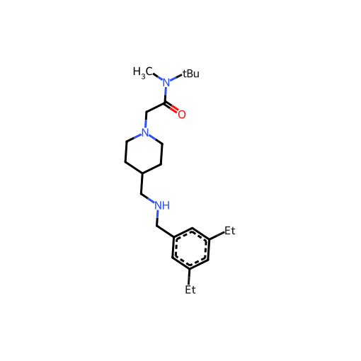 CCc1cc(CC)cc(CNCC2CCN(CC(=O)N(C)C(C)(C)C)CC2)c1